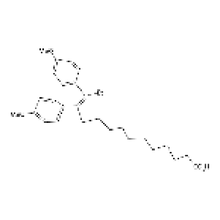 CCC(=C(CCCCCCCCCCC(=O)O)c1ccc(OC)cc1)c1ccc(OC)cc1